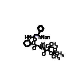 CCCCCCCCC/C(=C\C(=O)N[C@H]1CCCC[C@@H]1OC(=O)CCNC(=O)C1OC(C)(C)OCC1(C)C)c1ccccc1